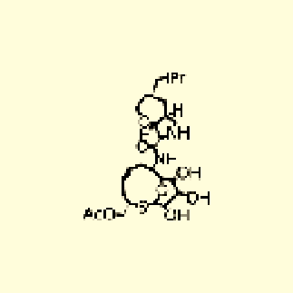 CC(=O)OC[C@@H]1C/C=C\C[C@@H](NC(=O)[C@H]2NC[C@@H]3C[C@H](CC(C)C)CCO[C@H]32)C2OC(S1)C(O)C(O)C2O